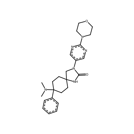 CN(C)C1(c2ccccc2)CCC2(CC1)CN(c1cnc(N3CCOCC3)nc1)C(=O)N2